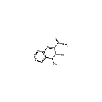 NC(=O)C1=Nc2ccccc2C(O)N1O